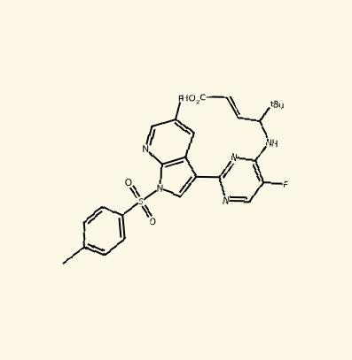 Cc1ccc(S(=O)(=O)n2cc(-c3ncc(F)c(NC(C=CC(=O)O)C(C)(C)C)n3)c3cc(F)cnc32)cc1